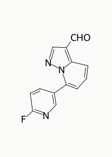 O=Cc1cnn2c(-c3ccc(F)nc3)cccc12